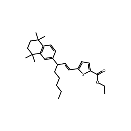 CCCCCC(/C=C/c1ccc(C(=O)OCC)s1)c1ccc2c(c1)C(C)(C)CCC2(C)C